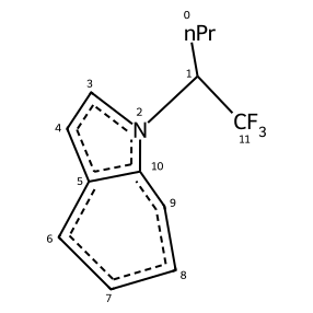 CCCC(n1ccc2ccccc21)C(F)(F)F